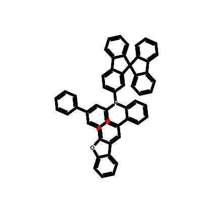 c1ccc(-c2cccc(N(c3ccc4c(c3)C3(c5ccccc5-c5ccccc53)c3ccccc3-4)c3ccccc3-c3ccc4oc5ccccc5c4c3)c2)cc1